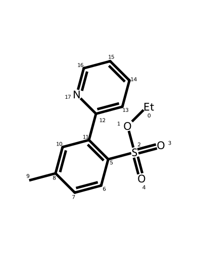 CCOS(=O)(=O)c1ccc(C)cc1-c1ccccn1